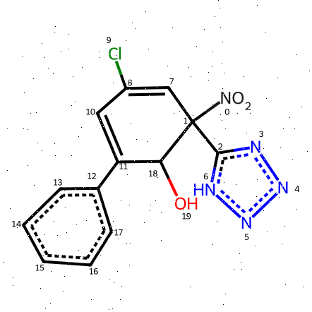 O=[N+]([O-])C1(c2nnn[nH]2)C=C(Cl)C=C(c2ccccc2)C1O